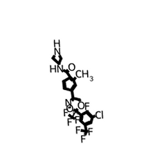 Cc1cc(C2=NO[C@](c3cc(C(F)(F)F)cc(Cl)c3F)(C(F)(F)F)OC2)ccc1C(=O)NC1CNC1